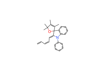 C=C/C=C\C=C1/N(c2ccccc2)c2ccccc2C12OC(C)(C)C(C)=C2C